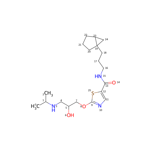 CC(C)NCC(O)COc1ncc(C(=O)NCCCC23CCCC2C3)s1